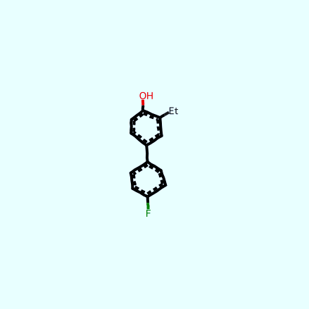 CCc1cc(-c2ccc(F)cc2)ccc1O